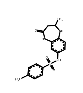 Cc1ccc(S(=O)(=O)Nc2ccc3c(c2)NC(=O)CC(C)N3)cc1